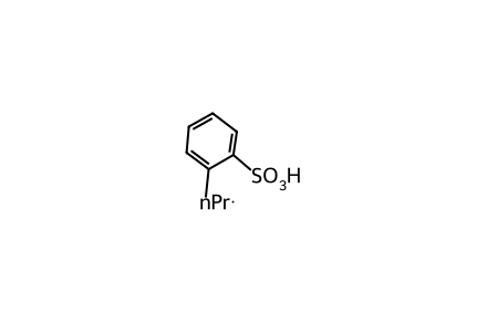 [CH2]C[CH]c1ccccc1S(=O)(=O)O